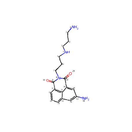 NCCCNCCCN1C(=O)c2cccc3cc(N)cc(c23)C1=O